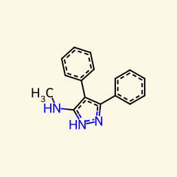 CNc1[nH]nc(-c2ccccc2)c1-c1ccccc1